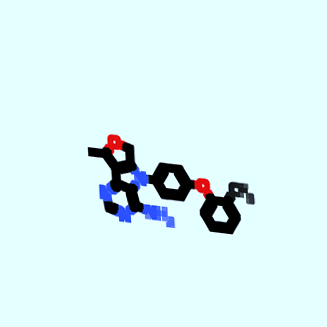 CC1OCc2c1c1ncnc(N)c1n2-c1ccc(Oc2ccccc2C(F)(F)F)cc1